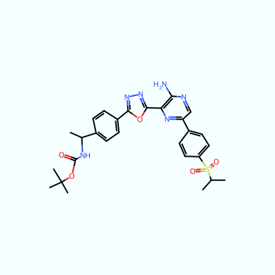 CC(NC(=O)OC(C)(C)C)c1ccc(-c2nnc(-c3nc(-c4ccc(S(=O)(=O)C(C)C)cc4)cnc3N)o2)cc1